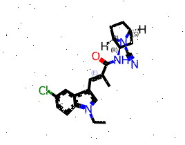 CCn1cc(/C=C(\C)C(=O)N[C@@H]2C[C@@H]3CC[C@H]2N3C#N)c2cc(Cl)ccc21